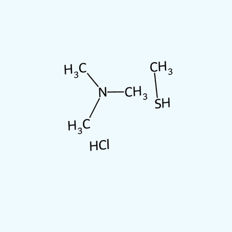 CN(C)C.CS.Cl